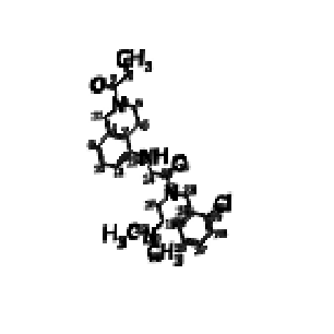 CCC(=O)N1CCc2c(cccc2NCC(=O)N(CCN(C)C)Cc2ccccc2Cl)C1